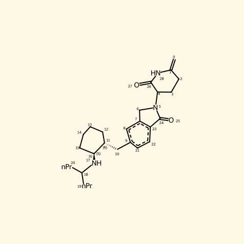 C=C1CCC(N2Cc3cc(C[C@H]4CCCC[C@@H]4NC(CCC)CCC)ccc3C2=O)C(=O)N1